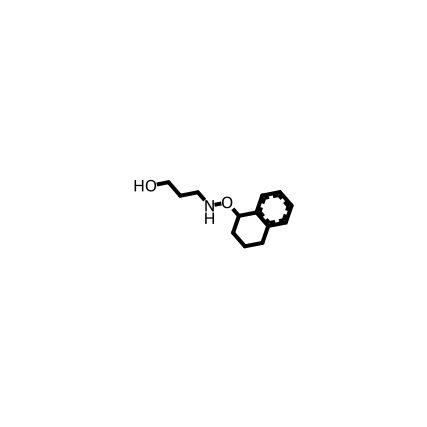 OCCCNOC1CCCc2ccccc21